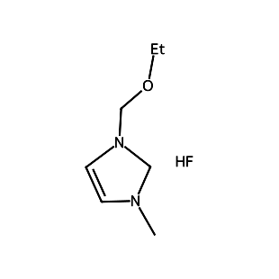 CCOCN1C=CN(C)C1.F